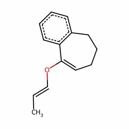 CC=COC1=CCCCc2ccccc21